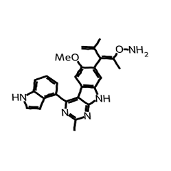 C=C(C)/C(=C(/C)ON)c1cc2[nH]c3nc(C)nc(-c4cccc5[nH]ccc45)c3c2cc1OC